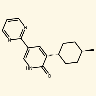 C[C@H]1CC[C@H](c2cc(-c3ncccn3)c[nH]c2=O)CC1